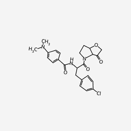 CN(C)c1ccc(C(=O)NC(Cc2ccc(Cl)cc2)C(=O)N2CCC3OCC(=O)C32)cc1